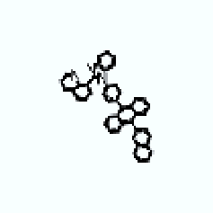 c1ccc2cc(-c3c4ccccc4c(-c4ccc(-n5c(-c6cccc7cccnc67)nc6ccccc65)cc4)c4ccccc34)ccc2c1